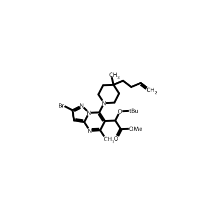 C=CCCC1(C)CCN(c2c(C(OC(C)(C)C)C(=O)OC)c(C)nc3cc(Br)nn23)CC1